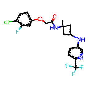 CC1(NC(=O)COc2ccc(Cl)c(F)c2)CC(Nc2ccc(C(F)(F)F)nc2)C1